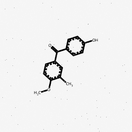 COc1ccc(C(=O)c2ccc(O)cc2)cc1C